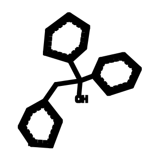 OC(Cc1cc[c]cc1)(c1ccccc1)c1ccccc1